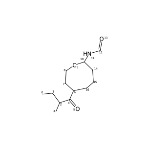 CCC(C)C(=O)C1CCCC(NC=O)CCC1